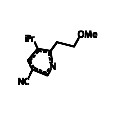 COCCc1ncc(C#N)cc1C(C)C